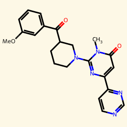 COc1cccc(C(=O)C2CCCN(c3nc(-c4ccncn4)cc(=O)n3C)C2)c1